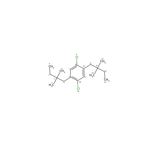 CCC(C)(C)Cc1cc(Cl)c(CC(C)(C)CC)cc1Cl